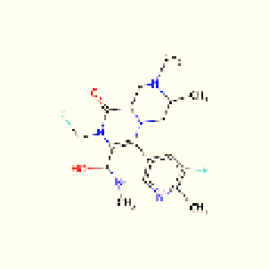 Cc1nc2c(cc1F)C1=C(C(O)N2C)N(CF)C(=O)C2CN(C)C(C)CN12